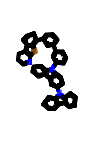 C1=Nc2sc3c(-c4cccc(-c5cccc(-n6c7ccccc7c7cc(-n8c9ccccc9c9ccccc98)ccc76)c5)c4)cccc3c2CC1